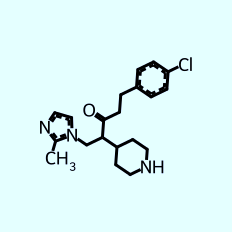 Cc1nccn1CC(C(=O)CCc1ccc(Cl)cc1)C1CCNCC1